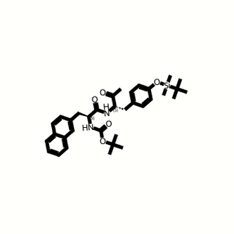 CC(=O)[C@H](Cc1ccc(O[Si](C)(C)C(C)(C)C)cc1)NC(=O)[C@H](Cc1ccc2ccccc2c1)NC(=O)OC(C)(C)C